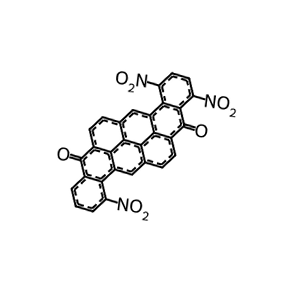 O=c1c2cccc([N+](=O)[O-])c2c2cc3ccc4c(=O)c5c([N+](=O)[O-])ccc([N+](=O)[O-])c5c5cc6ccc1c2c6c3c45